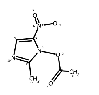 CC(=O)On1c([N+](=O)[O-])cnc1C